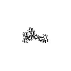 CCC1(CC)c2ccccc2-c2cc(-c3ccc(N(c4ccc5ccccc5c4)c4ccc5c6ccccc6n(-c6ccccc6)c5c4)cc3)ccc21